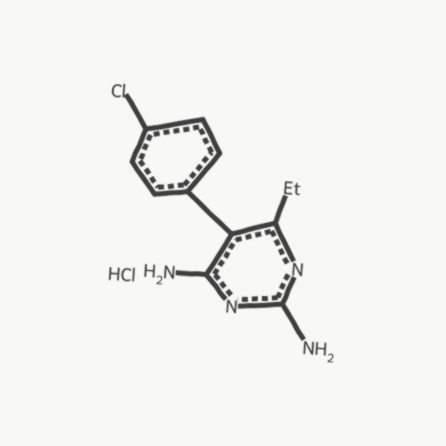 CCc1nc(N)nc(N)c1-c1ccc(Cl)cc1.Cl